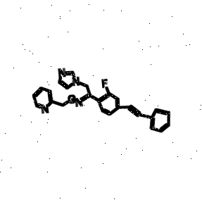 Fc1cc(C#Cc2ccccc2)ccc1/C(Cn1ccnc1)=N/OCc1ccccn1